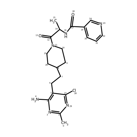 Cc1nc(N)c(CCC2CCN(C(=O)C(C)NC(=O)c3cccnc3)CC2)c(Cl)n1